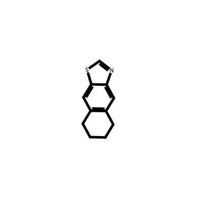 [c]1nc2cc3c(cc2s1)CCCC3